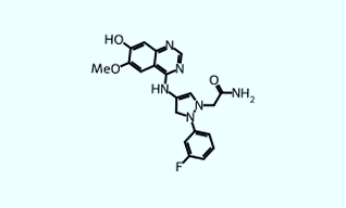 COc1cc2c(NC3=CN(CC(N)=O)N(c4cccc(F)c4)C3)ncnc2cc1O